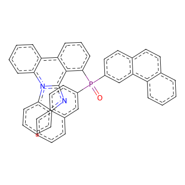 O=P(c1ccc2ccccc2c1)(c1ccc2ccc3ccccc3c2c1)c1cccc2c3ccccc3n3c4ccccc4nc3c12